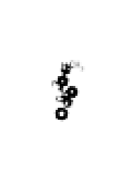 Cn1cc(-c2ccc(CN3C(=O)C4(CCN(C5CCCCCC5)C4)c4ccccc43)c(F)c2)cn1